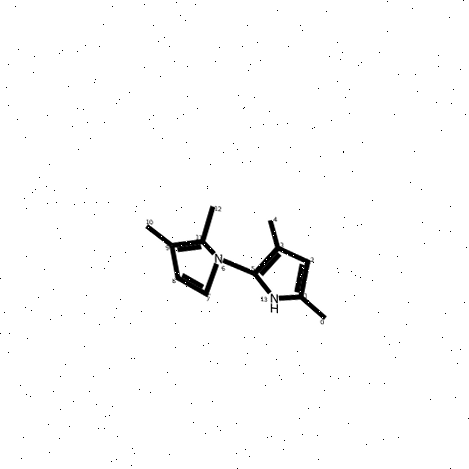 Cc1cc(C)c(-n2[c]cc(C)c2C)[nH]1